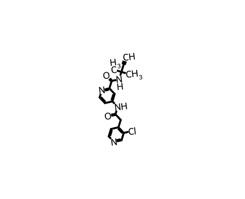 C#CC(C)(C)NC(=O)c1cc(NC(=O)Cc2ccncc2Cl)ccn1